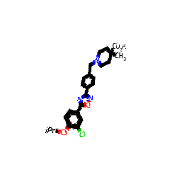 CC(C)Oc1ccc(-c2nc(-c3ccc(CN4CCC(C)(C(=O)O)CC4)cc3)no2)cc1Cl